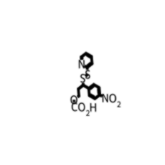 O=C(O)OCCC(SSc1ccccn1)c1ccc([N+](=O)[O-])cc1